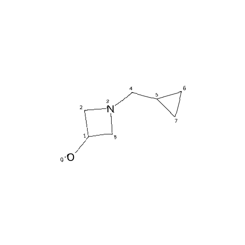 [O]C1CN(CC2CC2)C1